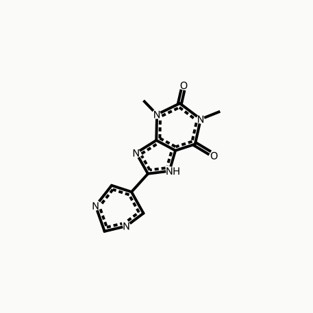 Cn1c(=O)c2[nH]c(-c3cncnc3)nc2n(C)c1=O